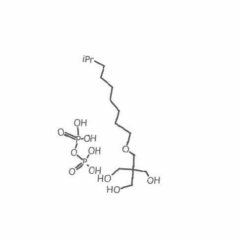 CC(C)CCCCCCCOCC(CO)(CO)CO.O=P(O)(O)OP(=O)(O)O